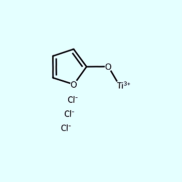 [Cl-].[Cl-].[Cl-].[Ti+3][O]c1ccco1